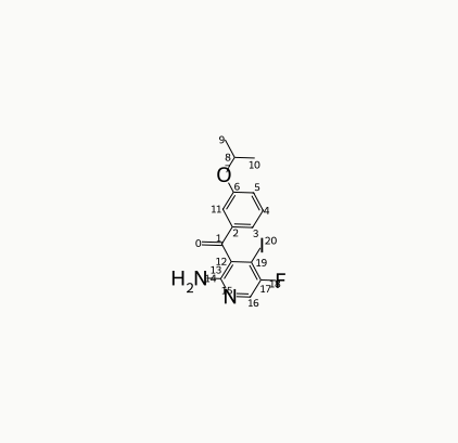 C=C(c1cccc(OC(C)C)c1)c1c(N)ncc(F)c1I